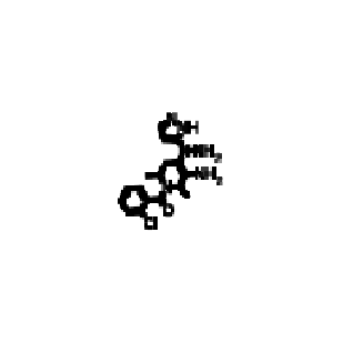 CC1CC(N(N)c2ccn[nH]2)=C(N)C(C)N1C(=O)c1ccccc1Cl